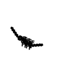 CCCCCCCCC[C@H]1CC[C@H](C(=O)Oc2c(F)c(F)c(-c3c(F)c(F)c(CCCCCCCC)c(F)c3F)c(F)c2F)CC1